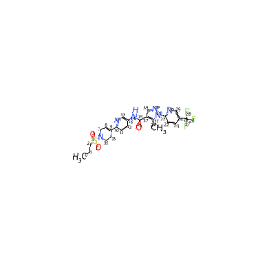 CCCS(=O)(=O)N1CC=C(c2ccc(NC(=O)c3cnn(-c4ccc(C(F)(F)F)cn4)c3C)cn2)CC1